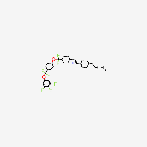 CCCC1CC=C(/C=C/C2CCC(C(F)(F)OC3CCC(C(F)(F)Oc4cc(F)c(F)c(F)c4)CC3)CC2)CC1